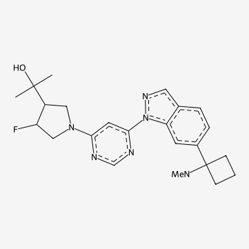 CNC1(c2ccc3cnn(-c4cc(N5CC(F)C(C(C)(C)O)C5)ncn4)c3c2)CCC1